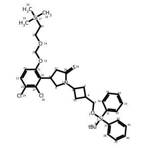 CC(C)(C)[Si](OCC1CC(N2CC(c3c(OCOCC[Si](C)(C)C)ccc(Cl)c3Cl)CC2=S)C1)(c1ccccc1)c1ccccc1